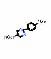 CCCCCCCCc1cnc(-c2ccc(SC)cc2)nc1